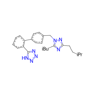 CCC(C)c1nc(CCC(C)C)nn1Cc1ccc(-c2ccccc2-c2nnn[nH]2)cc1